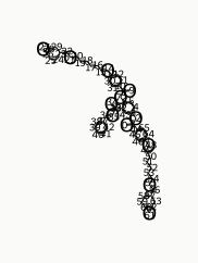 O=C(Oc1ccc(OC(=O)c2ccc(OCCCCCCOCC3CCC4OC4C3)cc2)c(C(=O)OCc2ccccc2)c1)c1ccc(OCCCCCCOCC2CCC3OC3C2)cc1